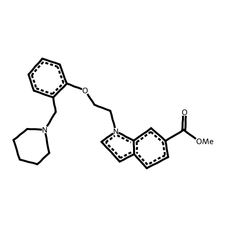 COC(=O)c1ccc2ccn(CCOc3ccccc3CN3CCCCC3)c2c1